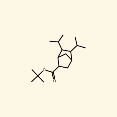 CC(C)C1C2CC(C(=O)OC(C)(C)C)C(C2)C1C(C)C